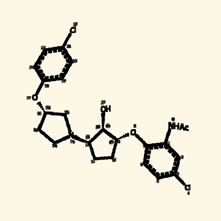 CC(=O)Nc1cc(Cl)ccc1O[C@@H]1CC[C@@H](N2CC[C@H](Oc3ccc(Cl)cc3)C2)[C@H]1O